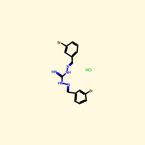 Cl.N=C(NN=Cc1cccc(Br)c1)NN=Cc1cccc(Br)c1